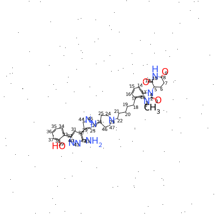 Cn1c(=O)n(C2CCC(=O)NC2=O)c2cccc(CCCCCN3CCC(n4cc(-c5cc(-c6ccccc6O)nnc5N)cn4)CC3)c21